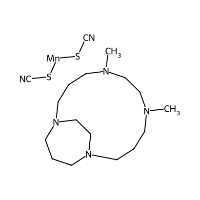 CN1CCCN2CCCN(CCCN(C)CC1)CC2.N#C[S][Mn][S]C#N